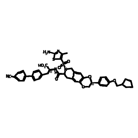 Cc1nc(N)sc1S(=O)(=O)N1Cc2cc3c(cc2CC1C(=O)N[C@@H](Cc1ccc(-c2ccc(C#N)cc2)cc1)C(=O)O)OC[C@H](c1ccc(OCC2CCCC2)cc1)O3